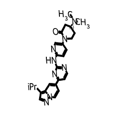 CC(C)c1cnn2ccc(-c3ccnc(Nc4ccc(N5CC[C@H](N(C)C)CC5=O)cn4)n3)cc12